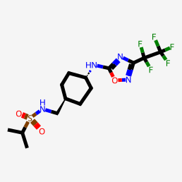 CC(C)S(=O)(=O)NC[C@H]1CC[C@H](Nc2nc(C(F)(F)C(F)(F)F)no2)CC1